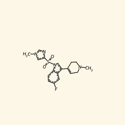 CN1CC=C(c2cn(S(=O)(=O)c3cn(C)cn3)c3ccc(F)cc23)CC1